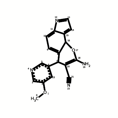 COc1cncc(C2C3=CC=C4N=CC=C4C3OC(N)=C2C#N)c1